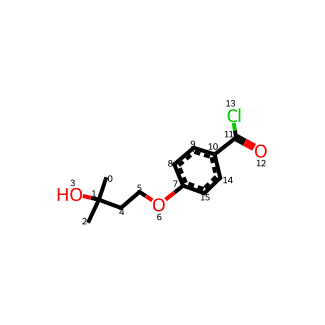 CC(C)(O)CCOc1ccc(C(=O)Cl)cc1